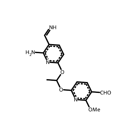 COc1nc(OC(C)Oc2ccc(C=N)c(N)n2)ccc1C=O